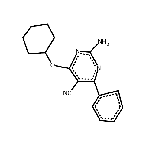 N#Cc1c(OC2CCCCC2)nc(N)nc1-c1ccccc1